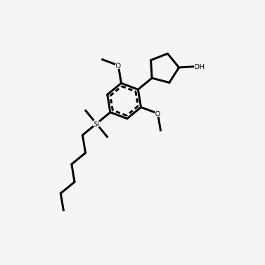 CCCCCC[Si](C)(C)c1cc(OC)c(C2CCC(O)C2)c(OC)c1